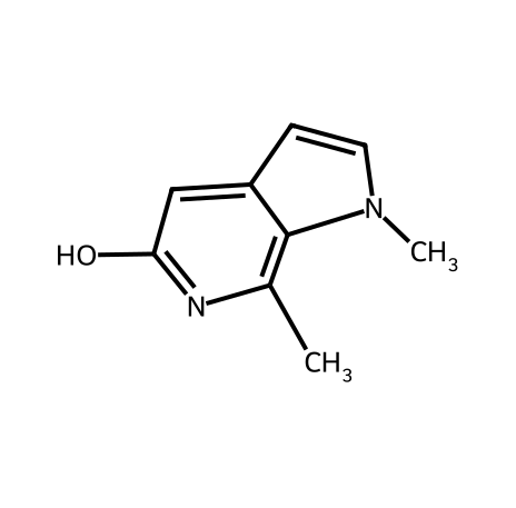 Cc1nc(O)cc2ccn(C)c12